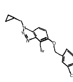 Clc1cc(COc2ccc3c(nnn3CC3CC3)c2Br)ccn1